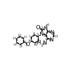 Cn1c(=O)n(-c2ccc(Oc3ccccc3)cc2)c2c(N)ncnc21